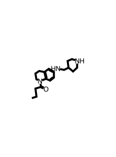 CCCC(=O)N1CCCc2cc(NCC3CCNCC3)ccc21